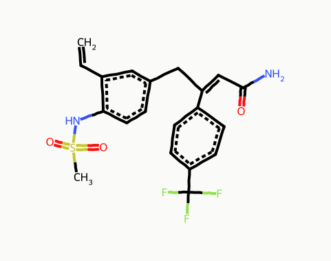 C=Cc1cc(CC(=CC(N)=O)c2ccc(C(F)(F)F)cc2)ccc1NS(C)(=O)=O